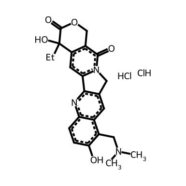 CCC1(O)C(=O)OCc2c1cc1n(c2=O)Cc2cc3c(CN(C)C)c(O)ccc3nc2-1.Cl.Cl